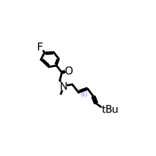 CN(C/C=C/C#CC(C)(C)C)CC(=O)c1ccc(F)cc1